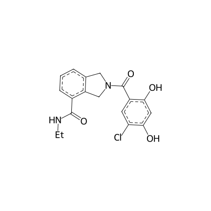 CCNC(=O)c1cccc2c1CN(C(=O)c1cc(Cl)c(O)cc1O)C2